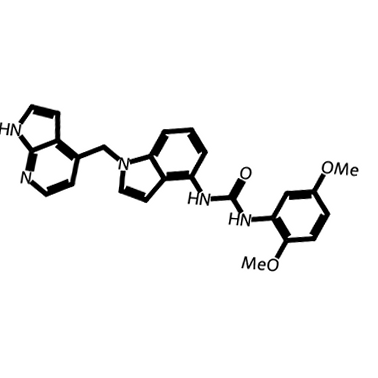 COc1ccc(OC)c(NC(=O)Nc2cccc3c2ccn3Cc2ccnc3[nH]ccc23)c1